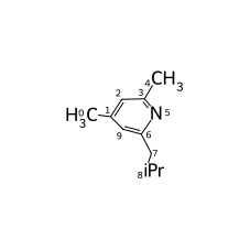 Cc1cc(C)nc(CC(C)C)c1